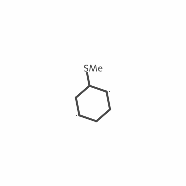 CSC1[CH]CC[CH]C1